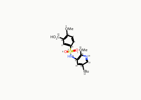 COc1ccc(S(=O)(=O)Nc2cc(C(C)(C)C)cnc2OC)cc1C(=O)O